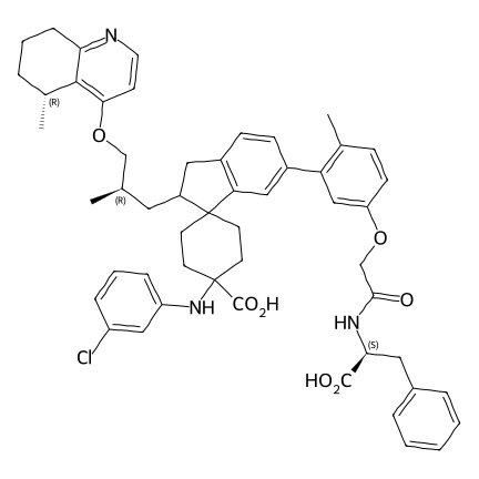 Cc1ccc(OCC(=O)N[C@@H](Cc2ccccc2)C(=O)O)cc1-c1ccc2c(c1)C1(CCC(Nc3cccc(Cl)c3)(C(=O)O)CC1)C(C[C@@H](C)COc1ccnc3c1[C@H](C)CCC3)C2